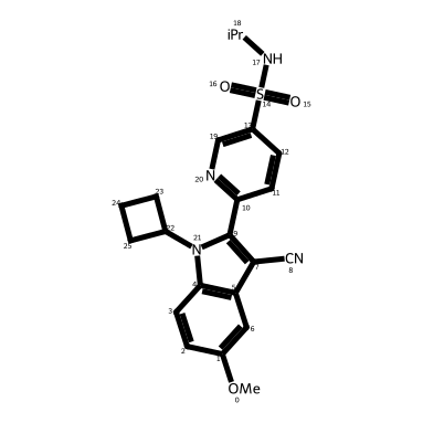 COc1ccc2c(c1)c(C#N)c(-c1ccc(S(=O)(=O)NC(C)C)cn1)n2C1CCC1